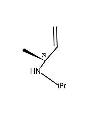 C=C[C@H](C)NC(C)C